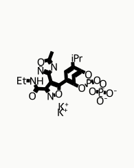 CCNC(=O)c1noc(-c2cc(C(C)C)c3cc2OP(=O)(OP(=O)([O-])[O-])O3)c1-c1noc(C)n1.[K+].[K+]